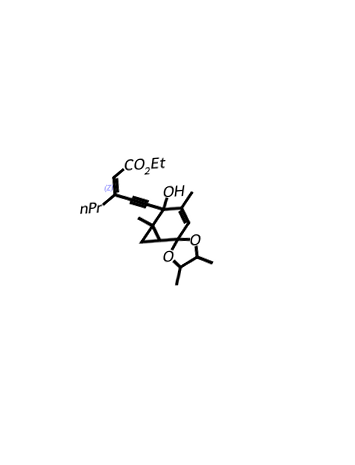 CCC/C(C#CC1(O)C(C)=CC2(OC(C)C(C)O2)C2CC21C)=C/C(=O)OCC